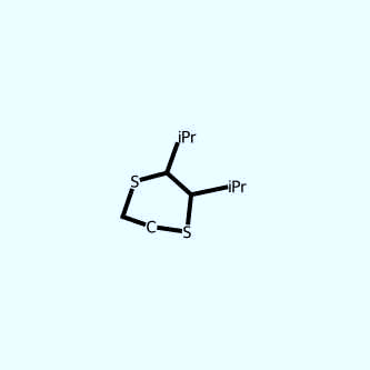 CC(C)C1SCCSC1C(C)C